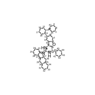 c1ccc(-c2cc3oc4c(c3cc2-c2ccccc2)NC(n2c3ccccc3c3cc5ccccc5cc32)NC4c2ccccc2)cc1